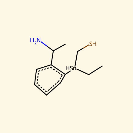 C[CH2][SnH]([CH2]S)[c]1ccccc1C(C)N